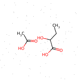 CC(=O)O.CCC(O)C(=O)O